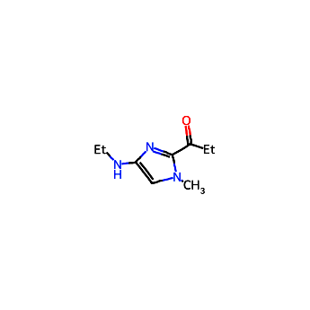 CCNc1cn(C)c(C(=O)CC)n1